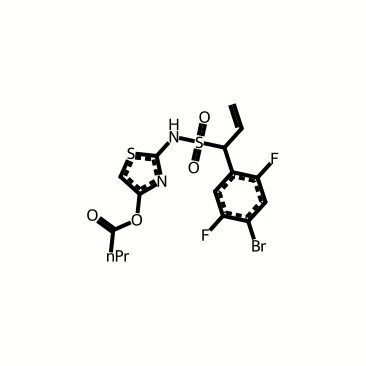 C=CC(c1cc(F)c(Br)cc1F)S(=O)(=O)Nc1nc(OC(=O)CCC)cs1